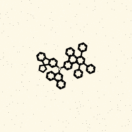 c1ccc(-c2cc(-c3ccccc3)c3c4ccccc4c4cc(N(c5ccc6c(c5)C5(CCCC5)c5ccccc5-6)c5cc6ccccc6c6ccccc56)ccc4c3c2-c2ccccc2)cc1